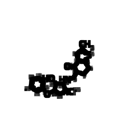 Cc1cc2c(s1)CCC(CNC1CCC(Oc3ccccc3)C1O)C2=O.Cl